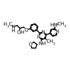 CNCC(O)COc1cccc(-c2nc(N[C@@H]3CCOC3)c(C)c(-c3ccnc(NC)c3)n2)c1